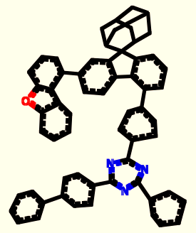 c1ccc(-c2ccc(-c3nc(-c4ccccc4)nc(-c4ccc(-c5cccc6c5-c5ccc(-c7cccc8oc9ccccc9c78)cc5C65C6CC7CC(C6)CC5C7)cc4)n3)cc2)cc1